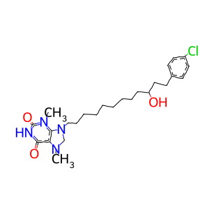 CN1CN(CCCCCCCCCC(O)CCc2ccc(Cl)cc2)c2c1c(=O)[nH]c(=O)n2C